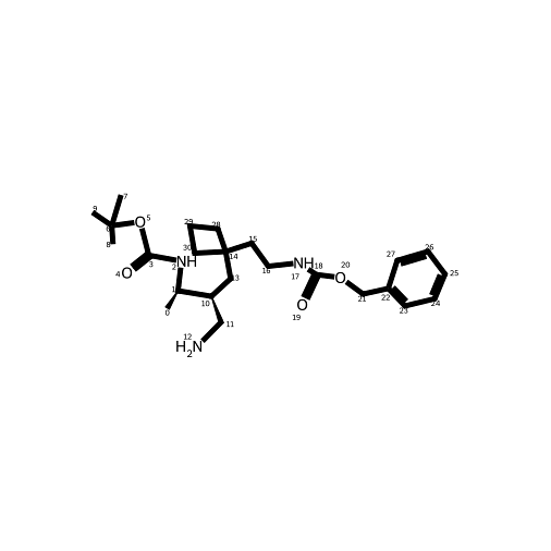 C[C@@H](NC(=O)OC(C)(C)C)[C@H](CN)CC1(CCNC(=O)OCc2ccccc2)CCC1